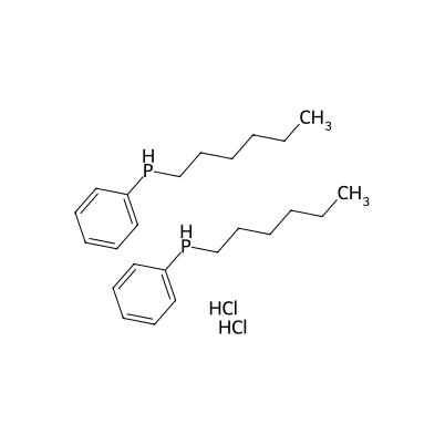 CCCCCCPc1ccccc1.CCCCCCPc1ccccc1.Cl.Cl